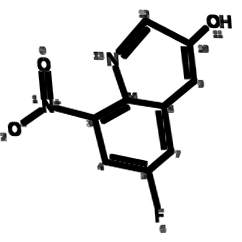 O=[N+]([O-])c1cc(F)cc2cc(O)cnc12